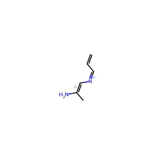 C=C/C=N\C=C(/C)N